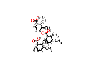 CC1=CC=CC(C(=O)[O-])C1C.CC1=CC=CC(C(=O)[O-])C1C.CC1=CC=CC(C(=O)[O-])C1C.[Al+3]